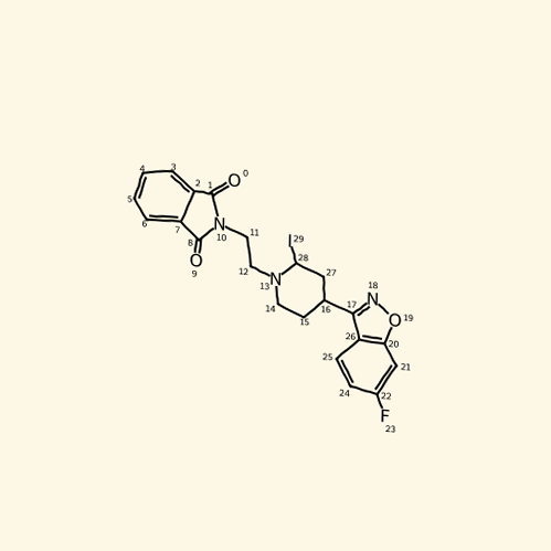 O=C1c2ccccc2C(=O)N1CCN1CCC(c2noc3cc(F)ccc23)CC1I